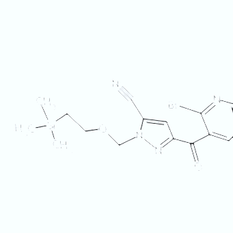 C[Si](C)(C)CCOCn1nc(C(=O)c2cccnc2Br)cc1C#N